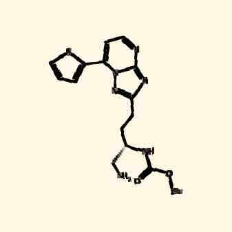 CC(C)(C)OC(=O)N[C@H](CN)CCc1nc2nccc(-c3cccs3)n2n1